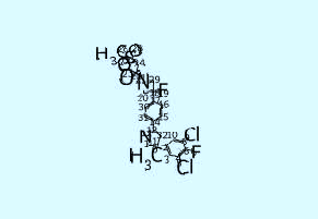 CC1(c2cc(Cl)c(F)c(Cl)c2)CN=C(c2ccc(C3(F)CN(C(=O)CS(C)(=O)=O)C3)cc2)C1